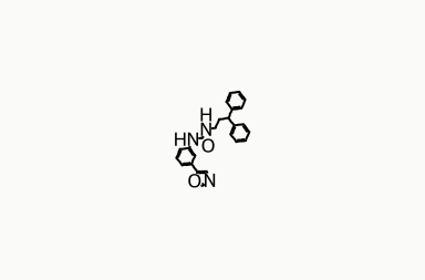 O=C(NCCC(c1ccccc1)c1ccccc1)Nc1cccc(-c2cnco2)c1